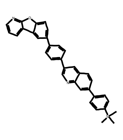 C[Si](C)(C)c1ccc(-c2ccc3cc(-c4ccc(-c5ccc6oc7ncccc7c6c5)cc4)cnc3c2)cc1